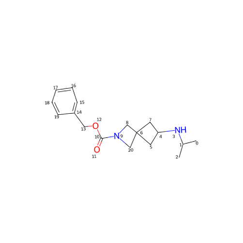 CC(C)NC1CC2(C1)CN(C(=O)OCc1ccccc1)C2